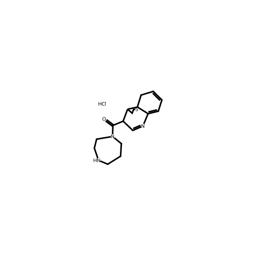 Cl.O=C(C1C=NC2=CC=CCC23SCCC13)N1CCCNCC1